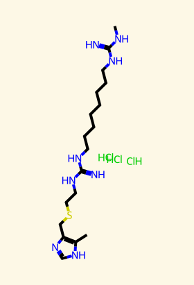 CNC(=N)NCCCCCCCCNC(=N)NCCSCc1nc[nH]c1C.Cl.Cl.Cl